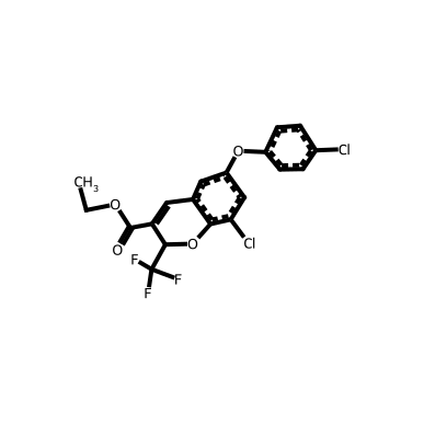 CCOC(=O)C1=Cc2cc(Oc3ccc(Cl)cc3)cc(Cl)c2OC1C(F)(F)F